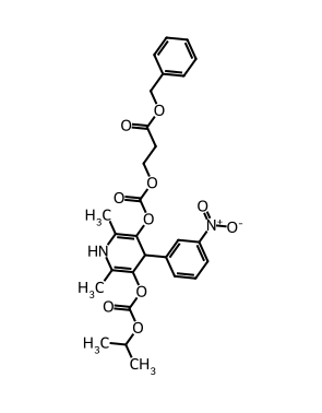 CC1=C(OC(=O)OCCC(=O)OCc2ccccc2)C(c2cccc([N+](=O)[O-])c2)C(OC(=O)OC(C)C)=C(C)N1